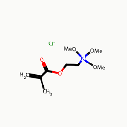 C=C(C)C(=O)OCC[N+](OC)(OC)OC.[Cl-]